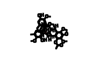 COc1cc2c(cc1O)CCN[C@]21CS[C@@H]2c3c(OC(C)=O)c(OC)c4c(c3[C@H](COC1=O)N1C[C@@H]3Cc5cc(C)c(OC)c(O)c5C([C@H]21)N3C)OCO4